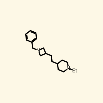 CCN1CCC(CCC2CN(Cc3ccccc3)C2)CC1